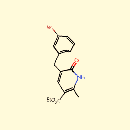 CCOC(=O)c1cc(Cc2cccc(Br)c2)c(=O)[nH]c1C